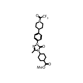 COC(=O)C1CCC(n2c(C)nn(-c3ccc(C4CCN(C(=O)C(F)(F)F)CC4)cc3)c2=O)CC1